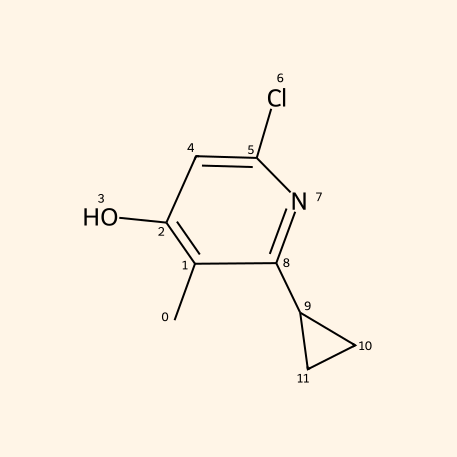 Cc1c(O)cc(Cl)nc1C1CC1